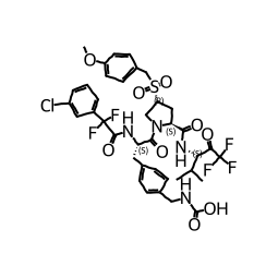 COc1ccc(CS(=O)(=O)[C@@H]2C[C@@H](C(=O)N[C@H](C(=O)C(F)(F)F)C(C)C)N(C(=O)[C@H](Cc3ccc(CNC(=O)O)cc3)NC(=O)C(F)(F)c3cccc(Cl)c3)C2)cc1